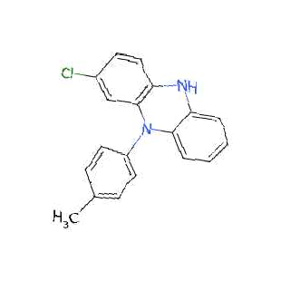 Cc1ccc(N2c3ccccc3Nc3ccc(Cl)cc32)cc1